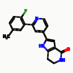 Cc1ccc(F)c(-c2cc(-c3cc4c([nH]3)CCNC4=O)ccn2)c1